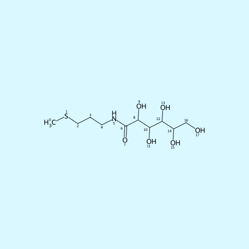 CSCCCNC(=O)C(O)C(O)C(O)C(O)CO